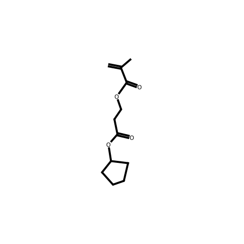 C=C(C)C(=O)OCCC(=O)OC1CCCC1